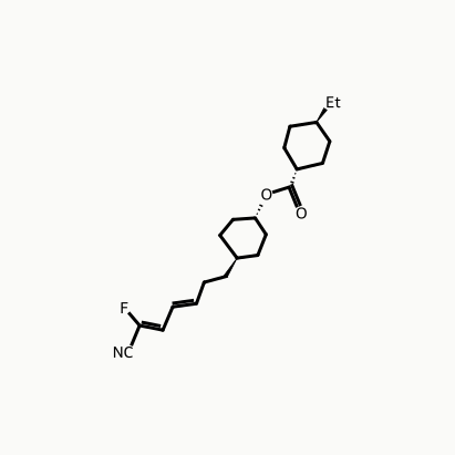 CC[C@H]1CC[C@H](C(=O)O[C@H]2CC[C@H](CCC=CC=C(F)C#N)CC2)CC1